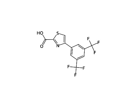 O=C(O)c1nc(-c2cc(C(F)(F)F)cc(C(F)(F)F)c2)cs1